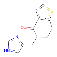 O=C1c2ccsc2CCC1Cc1c[nH]cn1